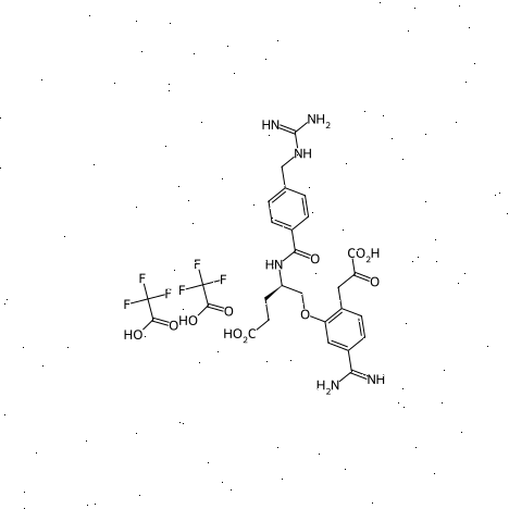 N=C(N)NCc1ccc(C(=O)N[C@H](CCC(=O)O)COc2cc(C(=N)N)ccc2CC(=O)C(=O)O)cc1.O=C(O)C(F)(F)F.O=C(O)C(F)(F)F